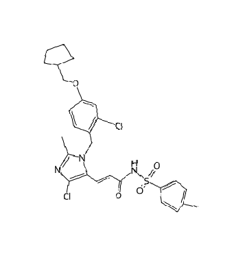 Cc1ccc(S(=O)(=O)NC(=O)C=Cc2c(Cl)nc(C)n2Cc2ccc(OCC3CCCC3)cc2Cl)cc1